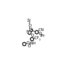 CC(C)Oc1ccc(-c2cn(COCC[Si](C)(C)C)c3nccc(Oc4ccc(NC(=O)Oc5ccccc5)cc4C(F)(F)F)c23)cc1C#N